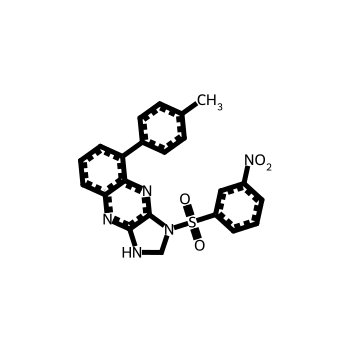 Cc1ccc(-c2cccc3nc4c(nc23)N(S(=O)(=O)c2cccc([N+](=O)[O-])c2)CN4)cc1